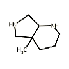 CC12CCCNC1CNC2